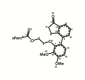 CCCCCC(=O)OCCOc1c(-c2cccc3c2CCC3=O)ccc(OC)c1OC